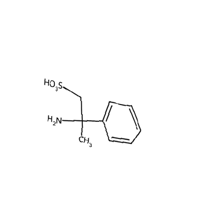 CC(N)(CS(=O)(=O)O)c1ccccc1